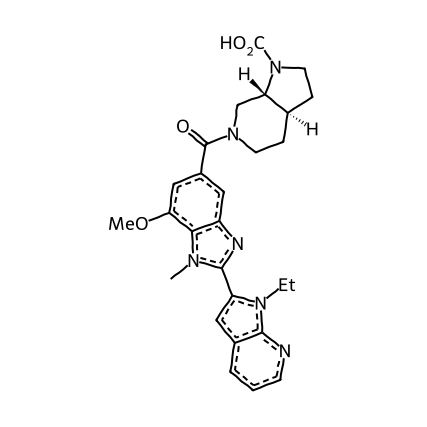 CCn1c(-c2nc3cc(C(=O)N4CC[C@@H]5CCN(C(=O)O)[C@H]5C4)cc(OC)c3n2C)cc2cccnc21